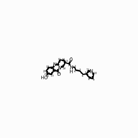 O=C(NCCCCc1cccnc1)c1ccc2nc3ccc(O)cc3c(=O)n2c1